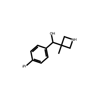 CC(C)c1ccc(C(O)C2(C)CNC2)cc1